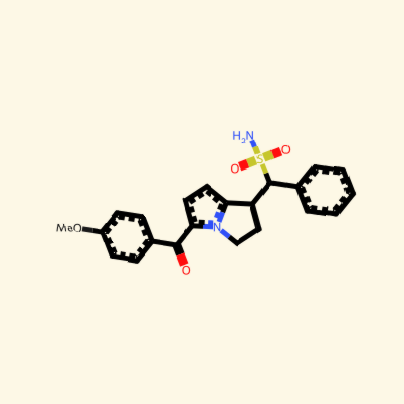 COc1ccc(C(=O)c2ccc3n2CCC3C(c2ccccc2)S(N)(=O)=O)cc1